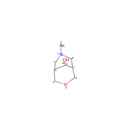 CC(=O)N1CC2COCC(C1)C2O